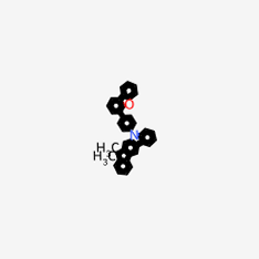 CC1(C)c2ccccc2-c2cc3c4ccccc4n(-c4ccc(-c5cccc6c5oc5ccccc56)cc4)c3cc21